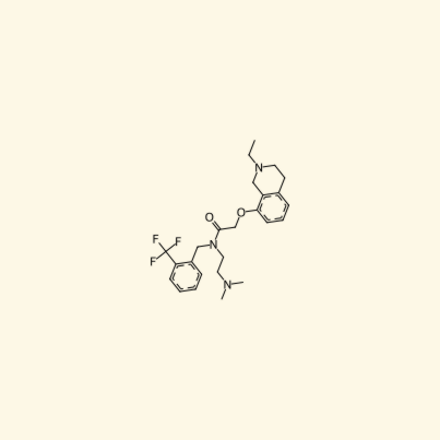 CCN1CCc2cccc(OCC(=O)N(CCN(C)C)Cc3ccccc3C(F)(F)F)c2C1